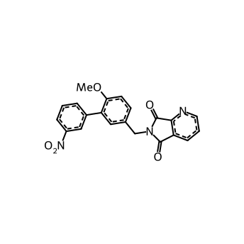 COc1ccc(CN2C(=O)c3cccnc3C2=O)cc1-c1cccc([N+](=O)[O-])c1